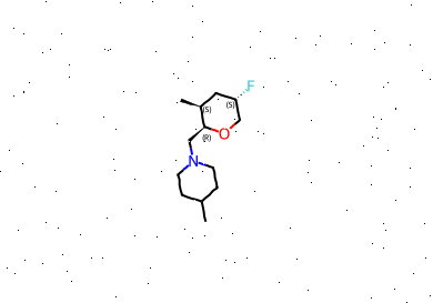 CC1CCN(C[C@@H]2OC[C@@H](F)C[C@@H]2C)CC1